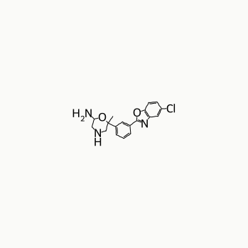 CC1(c2cccc(-c3nc4cc(Cl)ccc4o3)c2)CNCC(N)O1